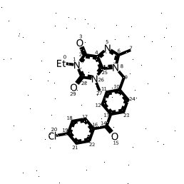 CCn1c(=O)c2nc(C)n(Cc3ccc(C(=O)c4ccc(Cl)cc4)cc3)c2n(C)c1=O